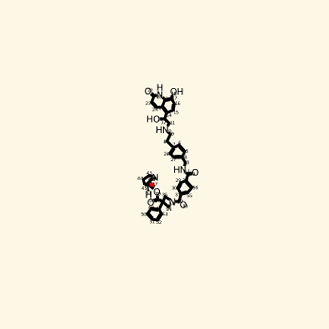 O=C(NCc1ccc(CCNCC(O)c2ccc(O)c3[nH]c(=O)ccc23)cc1)c1ccc(C(=O)N2CC(C(=O)O[C@H]3CN4CCC3CC4)(c3ccccc3)C2)cc1